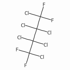 FC(F)(Cl)C(Cl)(Cl)C(Cl)(Cl)C(F)(F)Cl